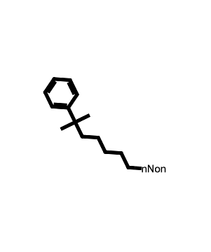 CCCCCCCCCCCCCCC(C)(C)c1ccccc1